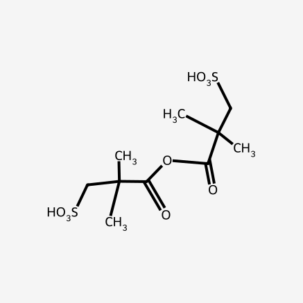 CC(C)(CS(=O)(=O)O)C(=O)OC(=O)C(C)(C)CS(=O)(=O)O